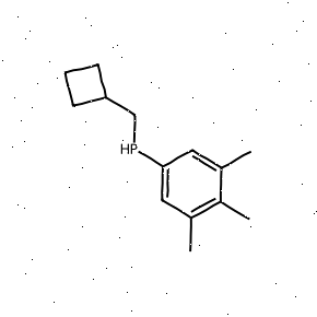 Cc1cc(PCC2CCC2)cc(C)c1C